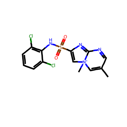 CC1=C[N+]2(C)C=C(S(=O)(=O)Nc3c(Cl)cccc3Cl)N=C2N=C1